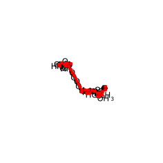 Cc1c(O)cc(O)c(C(=O)N2Cc3ccc(CN4CCN(CCOCCOCCOCCOCCNc5cccc6c5C(=O)N(C5CCC(=O)NC5=O)C6=O)CC4)cc3C2)c1OCc1ccccc1